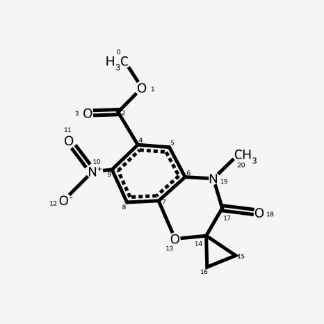 COC(=O)c1cc2c(cc1[N+](=O)[O-])OC1(CC1)C(=O)N2C